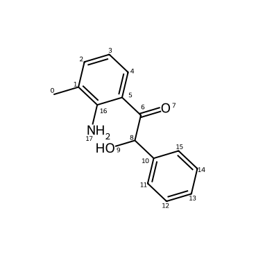 Cc1cccc(C(=O)C(O)c2ccccc2)c1N